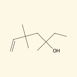 C=CC(C)(C)CC(C)(O)CC